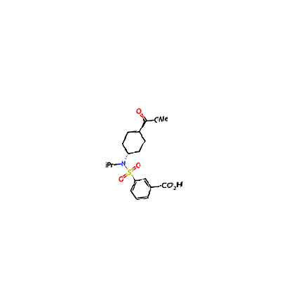 COC(=O)[C@H]1CC[C@H](N(C(C)C)S(=O)(=O)c2cccc(C(=O)O)c2)CC1